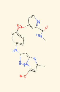 CNC(=O)c1cc(Oc2ccc(Nc3cc4nc(C)cc(O)n4n3)cc2)ccn1